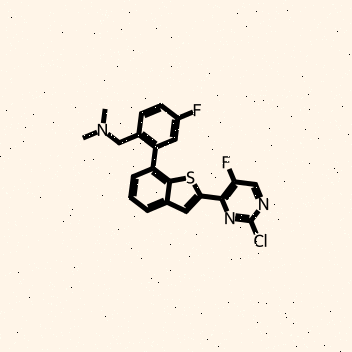 CN(C)Cc1ccc(F)cc1-c1cccc2cc(-c3nc(Cl)ncc3F)sc12